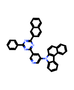 c1ccc(-c2nc(-c3cncc(-n4c5ccccc5c5c6ccccc6ccc54)c3)nc(-c3ccc4ccccc4c3)n2)cc1